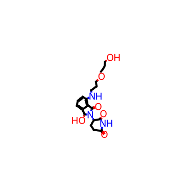 O=C1CCC(N2C(=O)c3c(NCCCOCCCO)cccc3C2O)C(=O)N1